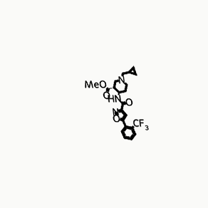 COC(=O)[C@@H]1CN(CC2CC2)CC[C@H]1NC(=O)c1cc(-c2ccccc2C(F)(F)F)on1